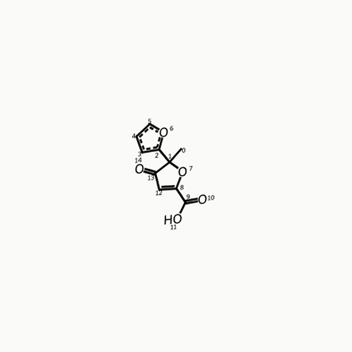 CC1(c2ccco2)OC(C(=O)O)=CC1=O